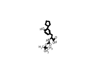 CC(C)(C)OC(=O)NC(Cc1ccc(O)c(C2CCCC2)c1)C(=O)O